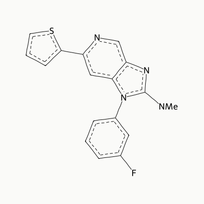 CNc1nc2cnc(-c3cccs3)cc2n1-c1cccc(F)c1